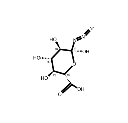 [N-]=[N+]=N[C@@]1(O)O[C@H](C(=O)O)[C@@H](O)[C@H](O)[C@H]1O